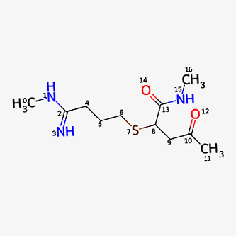 CNC(=N)CCCSC(CC(C)=O)C(=O)NC